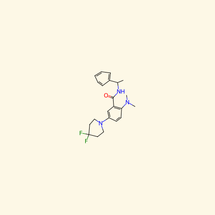 CC(NC(=O)c1cc(N2CCC(F)(F)CC2)ccc1N(C)C)c1ccccc1